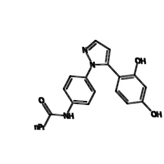 CCCC(=O)Nc1ccc(-n2nccc2-c2ccc(O)cc2O)cc1